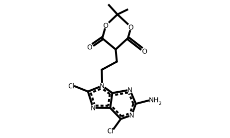 CC1(C)OC(=O)C(CCn2c(Cl)nc3c(Cl)nc(N)nc32)C(=O)O1